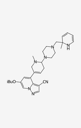 CC(C)COc1cc(C2=CCC(N3CCN(CC4(C)C=CC=CN4)CC3)N(C)C2)c2c(C#N)cnn2c1